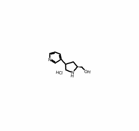 Cl.OC[C@@H]1CC(c2cccnc2)CN1